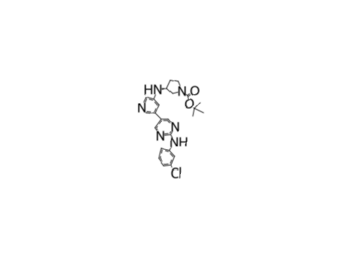 CC(C)(C)OC(=O)N1CC[C@H](Nc2cncc(-c3cnc(Nc4cccc(Cl)c4)nc3)c2)C1